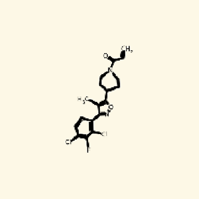 C=CC(=O)N1CCC(c2onc(-c3ccc(Cl)c(F)c3Cl)c2C)CC1